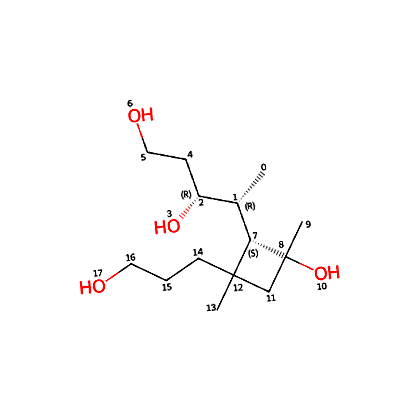 C[C@@H]([C@H](O)CCO)[C@@H]1C(C)(O)CC1(C)CCCO